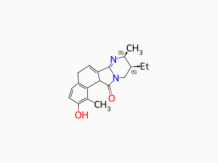 CC[C@H]1CN2C(=O)C3C(=CCc4ccc(O)c(C)c43)C2=N[C@H]1C